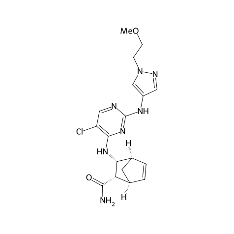 COCCn1cc(Nc2ncc(Cl)c(N[C@H]3[C@@H](C(N)=O)[C@@H]4C=C[C@H]3C4)n2)cn1